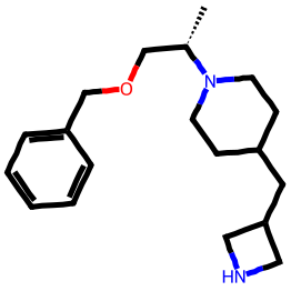 C[C@@H](COCc1ccccc1)N1CCC(CC2CNC2)CC1